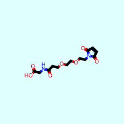 O=C(O)CNC(=O)CCOCCOCCN1C(=O)C=CC1=O